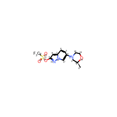 C[C@H]1CN(c2ccc3cc(OS(=O)(=O)C(F)(F)F)nn3c2)CCO1